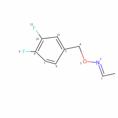 CC=NOCc1ccc(F)c(F)c1